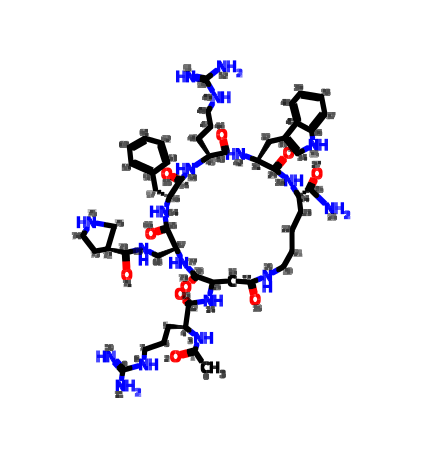 CC(=O)N[C@@H](CCCNC(=N)N)C(=O)NC1CC(=O)NCCCC[C@@H](C(N)=O)NC(=O)[C@H](Cc2c[nH]c3ccccc23)NC(=O)[C@H](CCCNC(=N)N)NC(=O)[C@@H](Cc2ccccc2)NC(=O)[C@H](CNC(=O)[C@H]2CCNC2)NC1=O